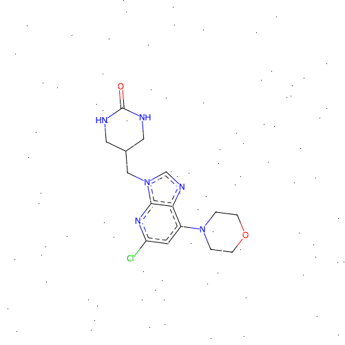 O=C1NCC(Cn2cnc3c(N4CCOCC4)cc(Cl)nc32)CN1